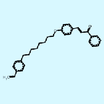 C=Cc1ccc(CCCCCCCCOc2ccc(C=CC(=O)c3ccccc3)cc2)cc1